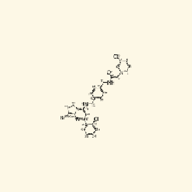 O=C(Cc1cccc(Cl)c1)NCc1ccc(CNc2cc(-c3ccccc3Cl)nc3c(Br)ccn23)cc1